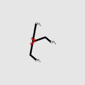 CCCCCCCC/C=C\CCCCCCCCCCCC(=O)OC[C@@H](COC(=O)CCCCCCCCCCCCCCCCC)OC(=O)CCCCCCCCCCC/C=C\CCCCCCCC